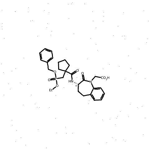 CCOP(=O)(CC1(C(=O)N[C@H]2CCc3ccccc3N(CC(=O)O)C2=O)CCCC1)OCc1ccccc1